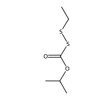 CCSSC(=O)O[C](C)C